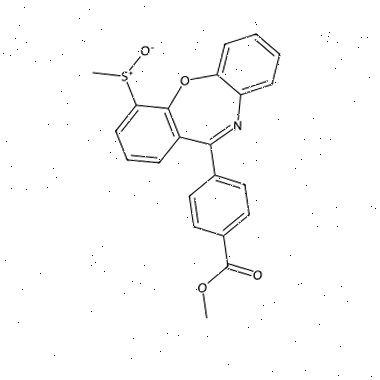 COC(=O)c1ccc(C2=Nc3ccccc3Oc3c2cccc3[S+](C)[O-])cc1